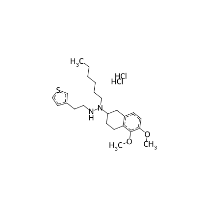 CCCCCCN(NCCc1ccsc1)C1CCc2c(ccc(OC)c2OC)C1.Cl.Cl